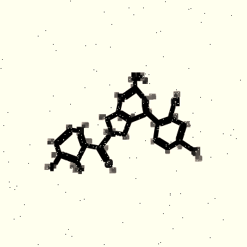 Nc1nc2c(c(-c3ccc(Cl)cc3Cl)n1)CN(C(=O)c1nccc(F)c1F)C2